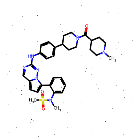 CN1CCC(C(=O)N2CCC(c3ccc(Nc4ncc5ccc(-c6ccccc6N(C)S(C)(=O)=O)n5n4)cc3)CC2)CC1